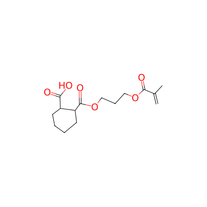 C=C(C)C(=O)OCCCOC(=O)C1CCCCC1C(=O)O